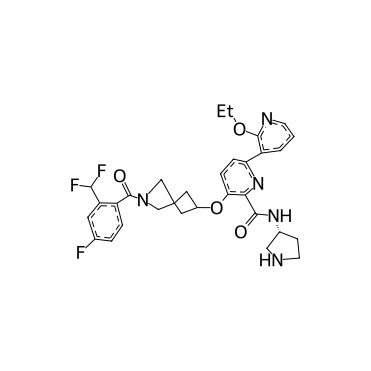 CCOc1ncccc1-c1ccc(OC2CC3(C2)CN(C(=O)c2ccc(F)cc2C(F)F)C3)c(C(=O)N[C@@H]2CCNC2)n1